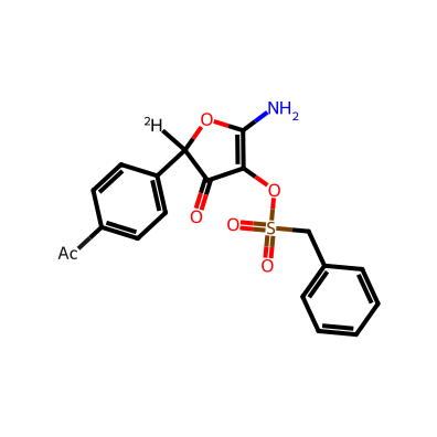 [2H]C1(c2ccc(C(C)=O)cc2)OC(N)=C(OS(=O)(=O)Cc2ccccc2)C1=O